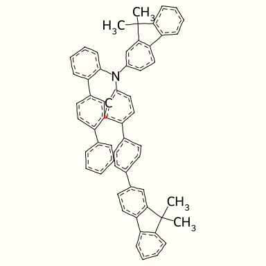 CC1(C)c2ccccc2-c2ccc(-c3ccc(-c4ccc(N(c5ccc6c(c5)C(C)(C)c5ccccc5-6)c5ccccc5-c5ccc(-c6ccccc6)cc5)cc4)cc3)cc21